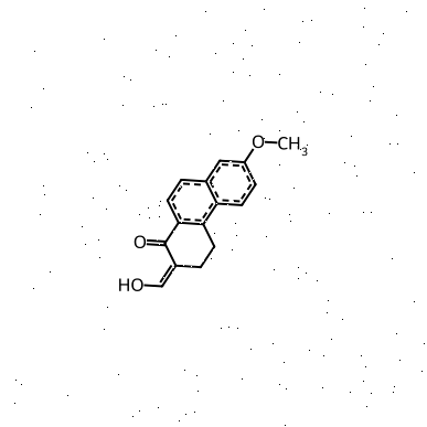 COc1ccc2c3c(ccc2c1)C(=O)C(=CO)CC3